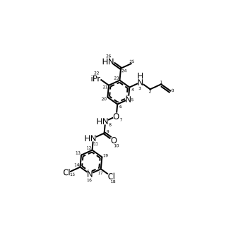 C=CCNc1nc(ONC(=O)Nc2cc(Cl)nc(Cl)c2)cc(C(C)C)c1C(C)=N